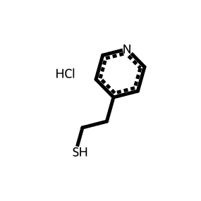 Cl.SCCc1ccncc1